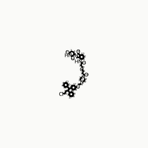 O=C1CCC(N2Cc3c(NC(=O)CCOCCC(=O)N4CCN(CCOc5ccc(C(=C(CCCl)c6ccccc6)c6ccccc6)cc5)CC4)cccc3C2=O)C(=O)N1